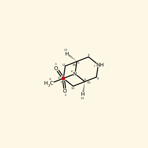 CS(=O)(=O)N1[C@@H]2CNC[C@H]1COC2